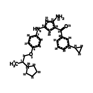 CC(COc1ccc(Nc2nc(N)c(C(=O)c3cccc(C4CC4)c3)s2)cc1)N1CCCC1